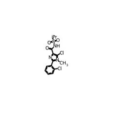 CC(C)S(=O)(=O)NC(=O)c1nc(-c2ccccc2Cl)n(C)c1Cl